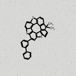 CC1(C)c2ccc3sc4ccc5sc6c(-c7cccc(-c8ccccc8)c7)cc7sc8ccc1c1c2c3c4c5c6c7c81